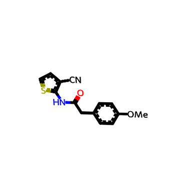 COc1ccc(CC(=O)Nc2sccc2C#N)cc1